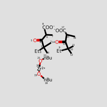 CCC(C)(C)C(=O)C(C)C(=O)[O-].CCC(C)(C)C(=O)C(C)C(=O)[O-].CCCC[O][Zr+2][O]CCCC